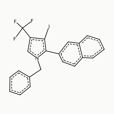 FC(F)(F)c1cn(Cc2ccccc2)c(-c2ccc3ccccc3c2)c1I